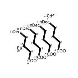 CCCCCCCCCCCCCC(=O)[O-].CCCCCCCCCCCCCC(=O)[O-].CCCCCCCCCCCCCC(=O)[O-].CCCCCCCCCCCCCC(=O)[O-].[Ba+2].[Cd+2]